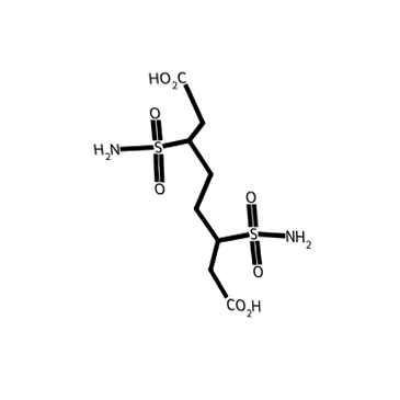 NS(=O)(=O)C(CCC(CC(=O)O)S(N)(=O)=O)CC(=O)O